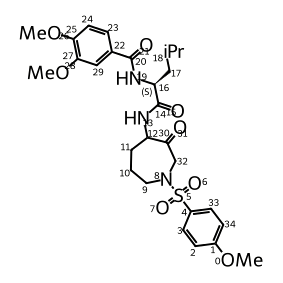 COc1ccc(S(=O)(=O)N2CCCC(NC(=O)[C@H](CC(C)C)NC(=O)c3ccc(OC)c(OC)c3)C(=O)C2)cc1